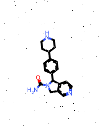 NC(=O)N1Cc2cnccc2C1c1ccc(C2CCNCC2)cc1